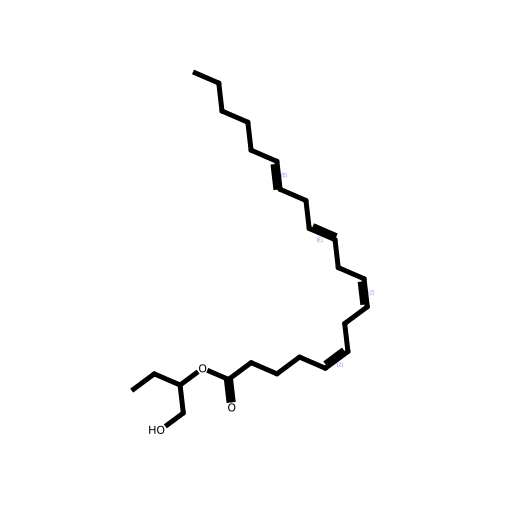 CCCCC/C=C/C/C=C/C/C=C\C/C=C\CCCC(=O)OC(CC)CO